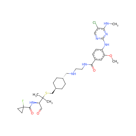 CNc1nc(Nc2ccc(C(=O)NCCNC[C@H]3CC[C@H](CSC(C)(C)[C@@H](C=O)NC(=O)C4(F)CC4)CC3)cc2OC)ncc1Cl